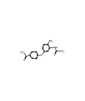 CC(=O)Nc1cc(Sc2ccc(C(C)=O)cc2)ccc1N